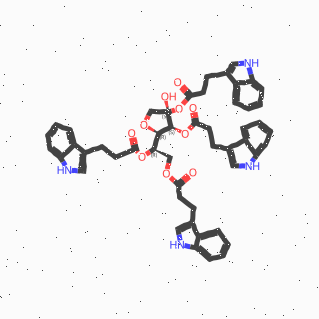 O=C(CCc1c[nH]c2ccccc12)OC[C@@H](OC(=O)CCc1c[nH]c2ccccc12)[C@H]1OC[C@](O)(OC(=O)CCc2c[nH]c3ccccc23)[C@H]1OC(=O)CCc1c[nH]c2ccccc12